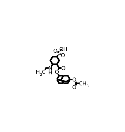 CCNC1CCC(S(=O)(=O)O)CC1C(=O)OC1C2CC3CC1CC(OC(C)=O)(C3)C2